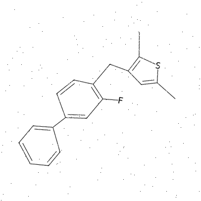 Cc1cc(Cc2ccc(-c3ccccc3)cc2F)c(C)s1